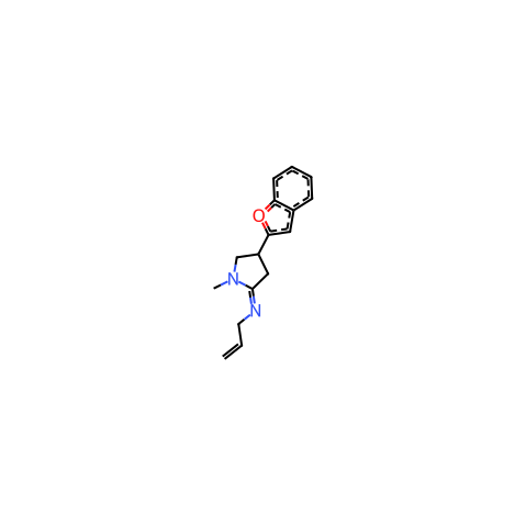 C=CCN=C1CC(c2cc3ccccc3o2)CN1C